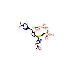 CC(=O)c1cnc(C(SCCS(=O)(=O)O)C2CCCC(C(SCCS(=O)(=O)O)c3cnc(C(C)=O)cn3)C2=O)cn1